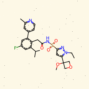 CCn1nc(S(=O)(=O)NC(=O)Cc2c(-c3ccnc(C)c3)cc(F)cc2C(C)C)cc1C1(OC)COC1